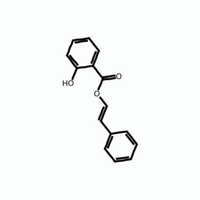 O=C(OC=Cc1ccccc1)c1ccccc1O